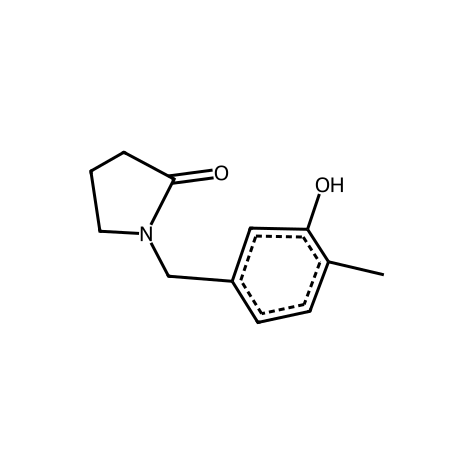 Cc1ccc(CN2CCCC2=O)cc1O